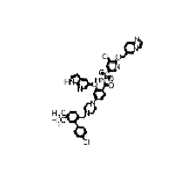 CC1(C)CCC(CN2CCN(c3ccc(C(=O)NS(=O)(=O)c4cnc(OCC5CCc6nccn6C5)c(Cl)c4)c(Oc4cnc5[nH]ccc5c4)c3)CC2)=C(c2ccc(Cl)cc2)C1